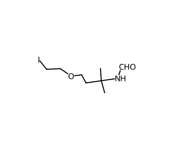 CC(C)(CCOCCI)NC=O